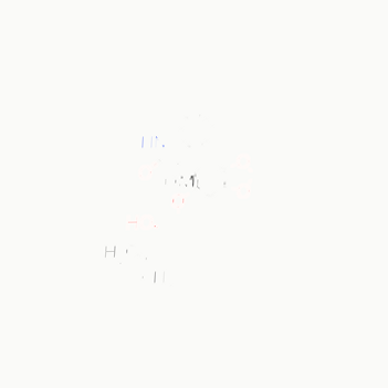 C=C(C)C[C@@H](O)COc1cc2c(cc1C1(OC)C(=O)Nc3cc(F)ccc31)OCO2